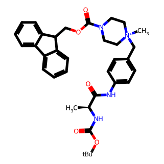 C[C@H](NC(=O)OC(C)(C)C)C(=O)Nc1ccc(C[N+]2(C)CCN(C(=O)OCC3c4ccccc4-c4ccccc43)CC2)cc1